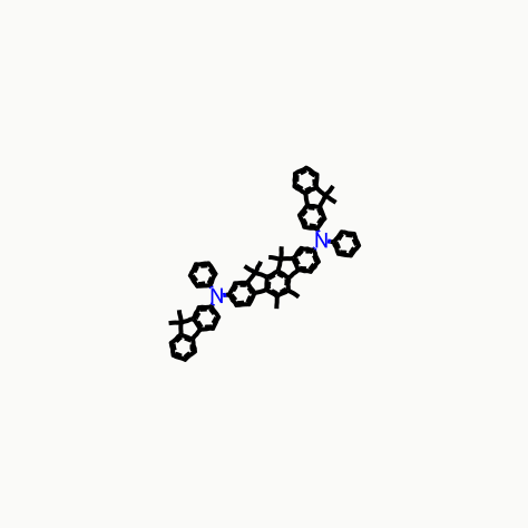 Cc1c(C)c2c(c3c1-c1ccc(N(c4ccccc4)c4ccc5c(c4)C(C)(C)c4ccccc4-5)cc1C3(C)C)C(C)(C)c1cc(N(c3ccccc3)c3ccc4c(c3)C(C)(C)c3ccccc3-4)ccc1-2